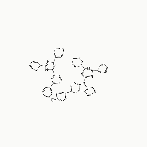 C1=CCC(c2nc(-c3ccccc3)nc(-c3cccc(-c4cccc5oc6ccc(-c7ccc8c(c7)c7ccncc7n8-c7nc(-c8ccccc8)nc(-c8ccccc8)n7)cc6c45)c3)n2)C=C1